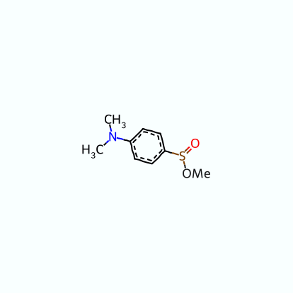 COS(=O)c1ccc(N(C)C)cc1